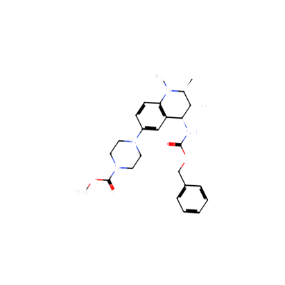 CC(=O)N1c2ccc(N3CCN(C(=O)OC(C)(C)C)CC3)cc2[C@H](NC(=O)OCc2ccccc2)[C@@H](C)[C@@H]1C